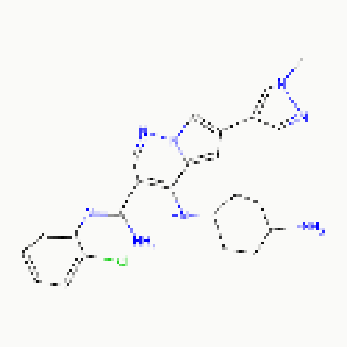 Cn1cc(-c2cc3c(NC4CCC(N)CC4)c(/C(N)=N/c4ccccc4Cl)cnn3c2)cn1